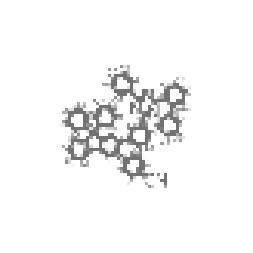 N#Cc1ccc(-c2cc3c(cc2-c2cccc(-c4nc(-c5ccccc5)nc(-c5ccccc5-c5ccccc5)n4)c2)C(c2ccccc2)(c2ccccc2)c2ccccc2-3)cc1